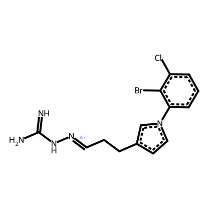 N=C(N)N/N=C/CCc1ccn(-c2cccc(Cl)c2Br)c1